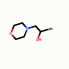 CCCC(O)CN1CCOCC1